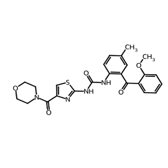 COc1ccccc1C(=O)c1cc(C)ccc1NC(=O)Nc1nc(C(=O)N2CCOCC2)cs1